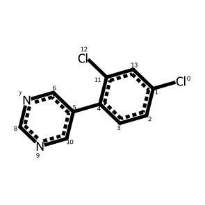 Clc1ccc(-c2[c]ncnc2)c(Cl)c1